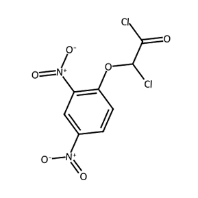 O=C(Cl)C(Cl)Oc1ccc([N+](=O)[O-])cc1[N+](=O)[O-]